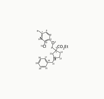 CCOC(=O)C1(COc2ccc(C)nc2Cl)CCN(Cc2ccccc2)C1